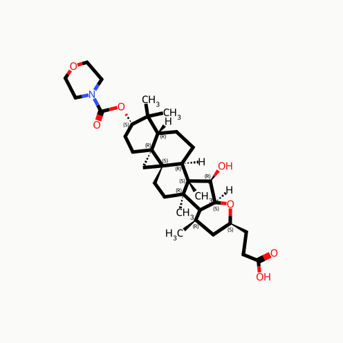 C[C@@H]1C[C@H](CCC(=O)O)O[C@H]2C1[C@@]1(C)CC[C@@]34C[C@@]35CC[C@H](OC(=O)N3CCOCC3)C(C)(C)[C@@H]5CC[C@H]4[C@]1(C)[C@H]2O